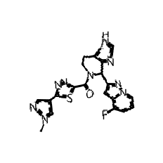 Cn1cc(-c2nnc(C(=O)N3CCc4[nH]cnc4C3c3cc4c(F)cccn4n3)s2)cn1